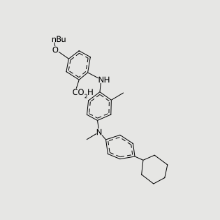 CCCCOc1ccc(Nc2ccc(N(C)c3ccc(C4CCCCC4)cc3)cc2C)c(C(=O)O)c1